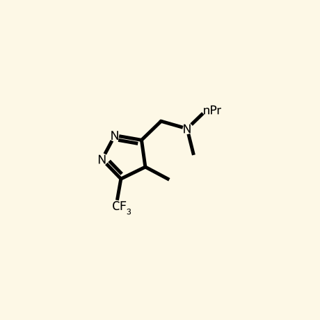 CCCN(C)CC1=NN=C(C(F)(F)F)C1C